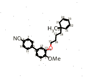 COc1ccc(-c2ccc(C#N)cc2)cc1OCCCCC1(C)C=CC=CC1